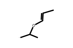 [CH2]C(C)OC=CC